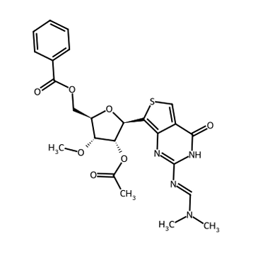 CO[C@H]1[C@@H](OC(C)=O)[C@H](c2scc3c(=O)[nH]c(/N=C/N(C)C)nc23)O[C@@H]1COC(=O)c1ccccc1